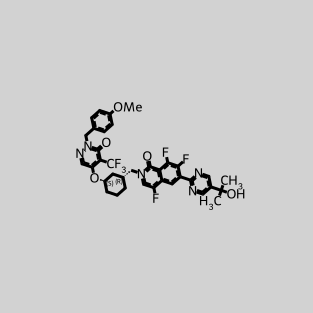 COc1ccc(Cn2ncc(O[C@H]3CCC[C@@H](Cn4cc(F)c5cc(-c6ncc(C(C)(C)O)cn6)c(F)c(F)c5c4=O)C3)c(C(F)(F)F)c2=O)cc1